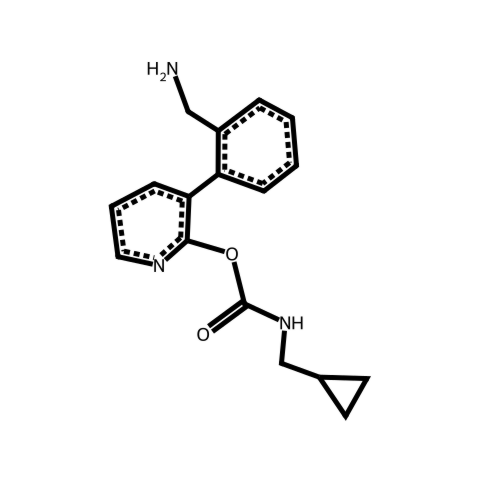 NCc1ccccc1-c1cccnc1OC(=O)NCC1CC1